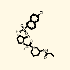 CCC(=O)NC1CCCN(C(=O)[C@H](C)N2CC[C@H](NS(=O)(=O)c3ccc4cc(Cl)ccc4c3)C2=O)C1